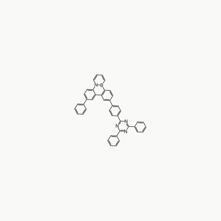 C1=CB2c3ccc(-c4ccc(-c5nc(-c6ccccc6)nc(-c6ccccc6)n5)cc4)cc3-c3cc(-c4ccccc4)ccc3N2C=C1